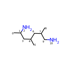 CC(N)CC(C)CC(C)CN